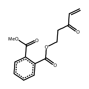 C=CC(=O)CCOC(=O)c1ccccc1C(=O)OC